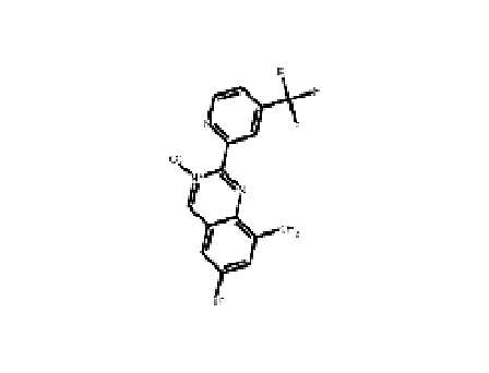 Cc1cc(Br)cc2c[n+]([O-])c(-c3cc(C(F)(F)F)ccn3)nc12